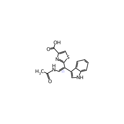 CC(=O)N/C=C(\c1nc(C(=O)O)cs1)c1c[nH]c2ccccc12